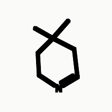 CC1(C)CC=NCC1